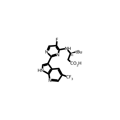 CC(C)(C)[C@@H](CC(=O)O)Nc1nc(-c2c[nH]c3ncc(C(F)(F)F)cc23)ncc1F